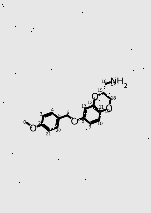 COc1ccc(COc2ccc3c(c2)O[C@H](CN)CO3)cc1